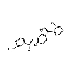 Cc1cccc(S(=O)(=O)Nc2ccc3c(-c4ccccc4Cl)n[nH]c3c2)c1